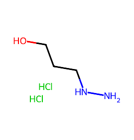 Cl.Cl.NNCCCO